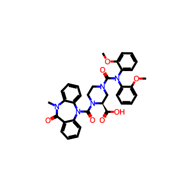 COc1ccccc1N(C(=O)N1CCN(C(=O)N2c3ccccc3C(=O)N(C)c3ccccc32)[C@H](C(=O)O)C1)c1ccccc1OC